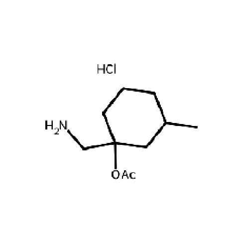 CC(=O)OC1(CN)CCCC(C)C1.Cl